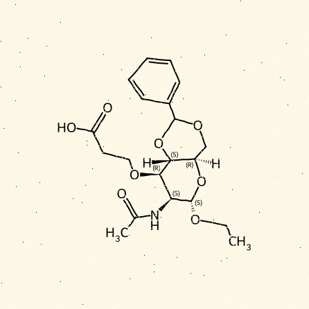 CCO[C@H]1O[C@@H]2COC(c3ccccc3)O[C@H]2[C@H](OCCC(=O)O)[C@@H]1NC(C)=O